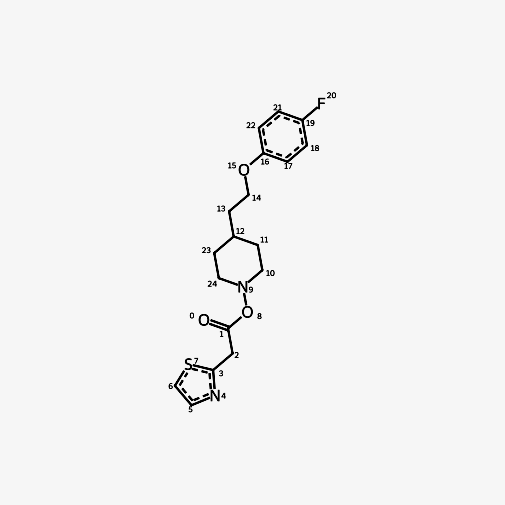 O=C(Cc1nccs1)ON1CCC(CCOc2ccc(F)cc2)CC1